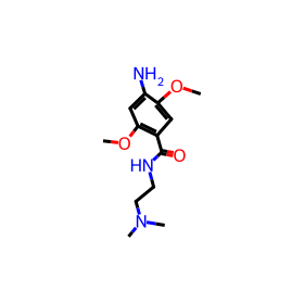 COc1cc(C(=O)NCCN(C)C)c(OC)cc1N